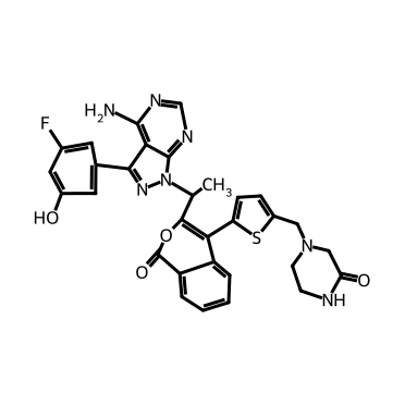 CC(c1oc(=O)c2ccccc2c1-c1ccc(CN2CCNC(=O)C2)s1)n1nc(-c2cc(O)cc(F)c2)c2c(N)ncnc21